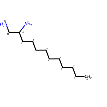 [CH2]CCCCCCCCCC(N)[CH]N